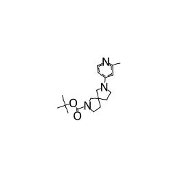 Cc1cc(N2CCC3(CCN(C(=O)OC(C)(C)C)C3)C2)ccn1